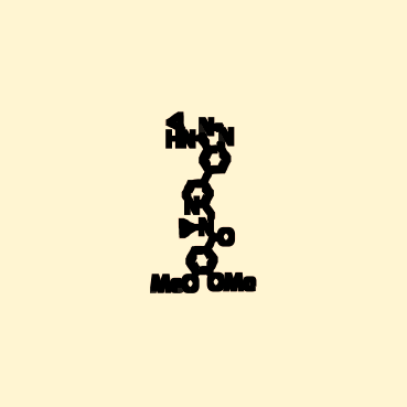 COc1ccc(C(=O)N(Cc2cc(-c3ccc4ncnc(NC5CC5)c4c3)ccn2)C2CC2)cc1OC